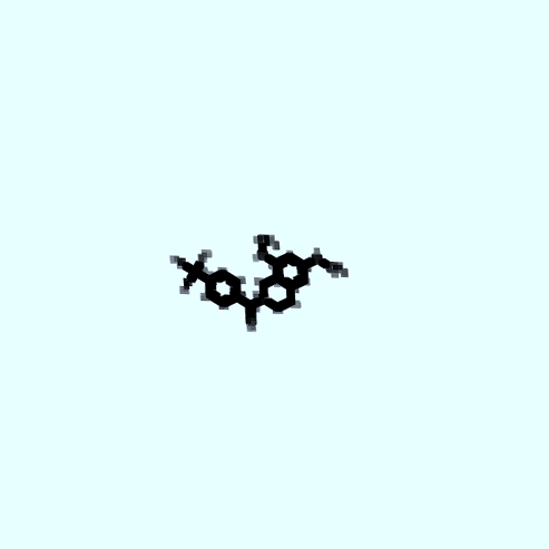 COc1cc2c(c(OC)c1)CN(C(=O)c1ccc(C(F)(F)F)cc1)CC2